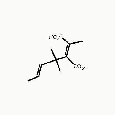 CC=CC(C)(C)C(C(=O)O)=C(C)C(=O)O